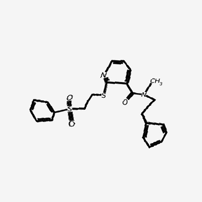 CN(CCc1ccccc1)C(=O)c1cccnc1SCCS(=O)(=O)c1ccccc1